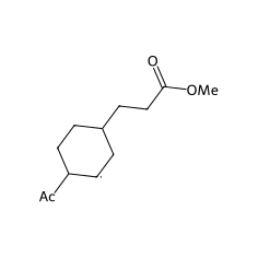 COC(=O)CCC1C[CH]C(C(C)=O)CC1